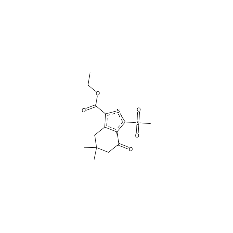 CCOC(=O)c1sc(S(C)(=O)=O)c2c1CC(C)(C)CC2=O